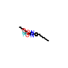 CCCCCCCCCc1ccc(-c2ncc(C(=O)OC(COCCCC)C(F)(F)F)cn2)cc1